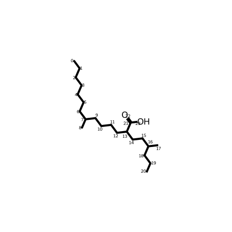 CCCCCCCC(C)CCCCC(CCC(C)CCC)C(=O)O